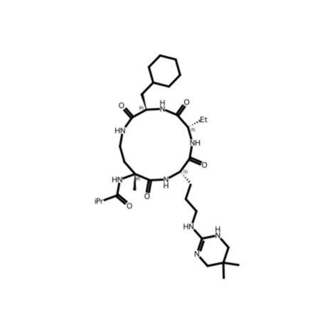 CC[C@@H]1NC(=O)[C@H](CCCNC2=NCC(C)(C)CN2)NC(=O)[C@](C)(NC(=O)C(C)C)CCNC(=O)[C@@H](CC2CCCCC2)NC1=O